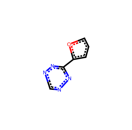 c1coc(-c2nncnn2)c1